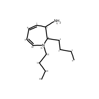 CCCCC1C(N)C=CC=CN1CCCC